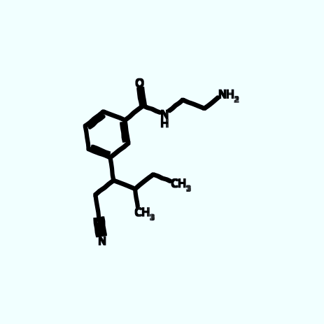 CCC(C)C(CC#N)c1cccc(C(=O)NCCN)c1